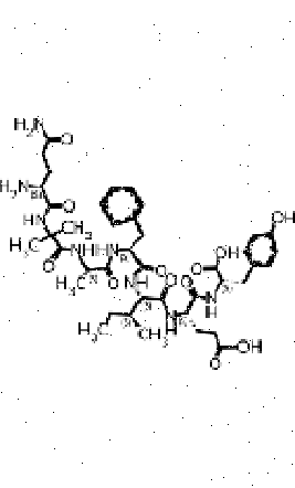 CC[C@H](C)[C@H](NC(=O)[C@H](Cc1ccccc1)NC(=O)[C@H](C)NC(=O)C(C)(C)NC(=O)[C@@H](N)CCC(N)=O)C(=O)N[C@@H](CCC(=O)O)C(=O)N[C@@H](Cc1ccc(O)cc1)C(=O)O